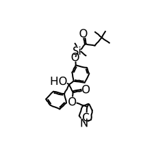 CC(C)(C)CC(=O)[Si](C)(C)Oc1cccc(C(O)(C(=O)OC2CN3CCC2CC3)c2ccccc2)c1